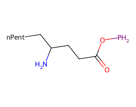 CCCCCCC(N)CCC(=O)OP